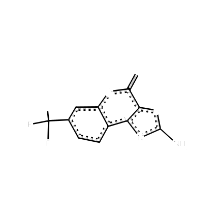 Nc1nc2c(s1)c(=O)oc1cc(C(F)(F)F)ccc12